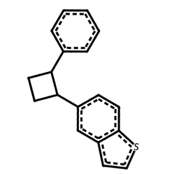 c1ccc(C2CCC2c2ccc3sccc3c2)cc1